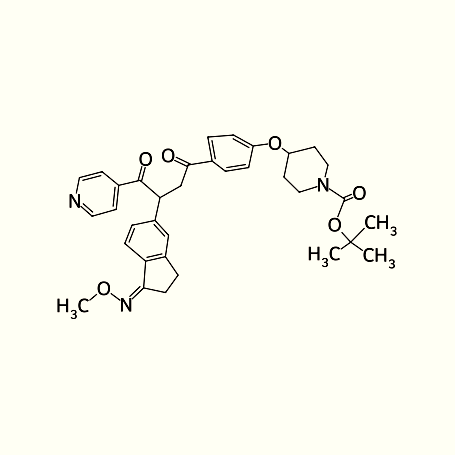 CO/N=C1/CCc2cc(C(CC(=O)c3ccc(OC4CCN(C(=O)OC(C)(C)C)CC4)cc3)C(=O)c3ccncc3)ccc21